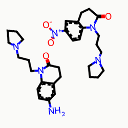 Nc1ccc2c(c1)CCC(=O)N2CCCN1CCCC1.O=C1CCc2cc([N+](=O)[O-])ccc2N1CCCN1CCCC1